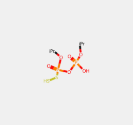 CC(C)OP(=O)(O)OP(=O)(OC(C)C)SS